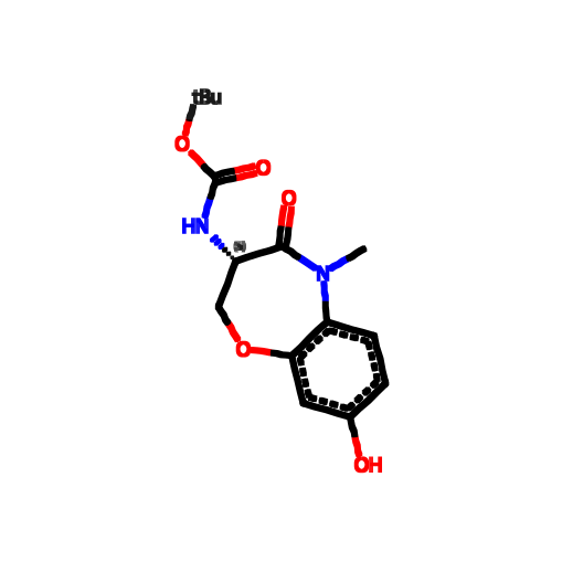 CN1C(=O)[C@@H](NC(=O)OC(C)(C)C)COc2cc(O)ccc21